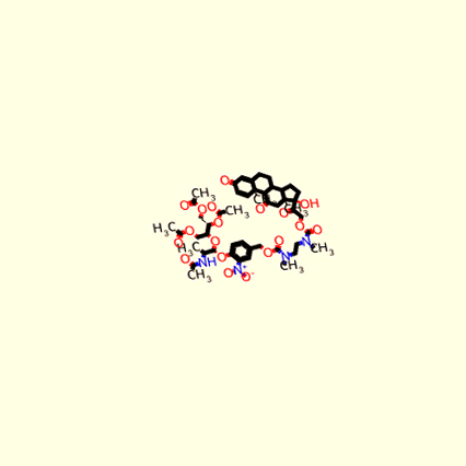 CC(=O)NC(C)[C@H](Oc1ccc(COC(=O)N(C)CCN(C)C(=O)OCC(=O)[C@@]2(O)CCC3C4CCC5=CC(=O)C=C[C@]5(C)C4C(=O)C[C@@]32C)cc1[N+](=O)[O-])OC(COC(C)=O)[C@H](COC(C)=O)OC(C)=O